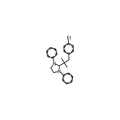 CCc1ccc(CC(C)(C)C2N(c3ccccc3)CCN2c2ccccc2)cc1